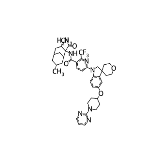 CC1CC2CC(C)C(NC(=O)c3ccc(N4CC5(CCOCC5)c5cc(OC6CCN(c7ncccn7)CC6)ccc54)nc3C(F)(F)F)(C(N)=O)C(C1)C2